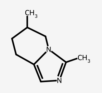 Cc1ncc2n1CC(C)CC2